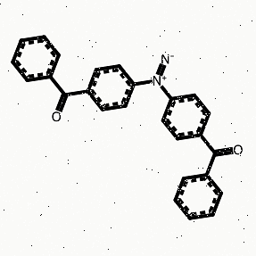 [N-]=[N+](c1ccc(C(=O)c2ccccc2)cc1)c1ccc(C(=O)c2ccccc2)cc1